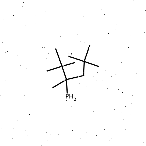 CC(C)(C)CC(C)(P)C(C)(C)C